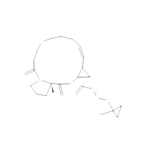 C[C@@H]1CC/C=C\C2C[C@@]2(C(=O)NOOC2(C)CC2)NC(=O)[C@@H]2CCCN2C(=O)C[C@H](C)O1